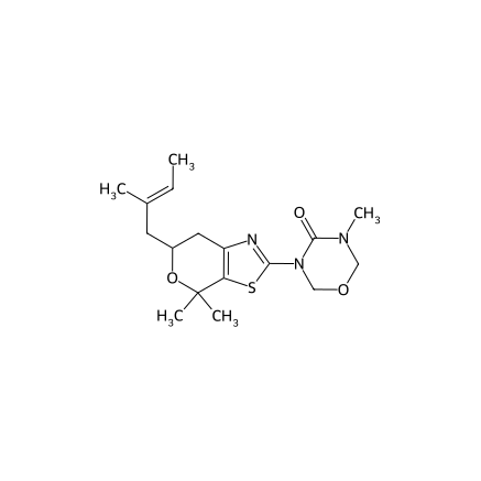 CC=C(C)CC1Cc2nc(N3COCN(C)C3=O)sc2C(C)(C)O1